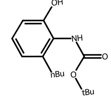 [CH2]CCCc1cccc(O)c1NC(=O)OC(C)(C)C